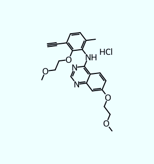 C#Cc1ccc(C)c(Nc2ncnc3cc(OCCOC)ccc23)c1OCCOC.Cl